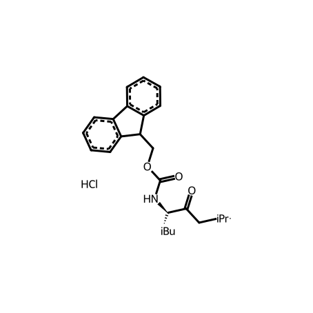 CC[C@@H](C)[C@@H](NC(=O)OCC1c2ccccc2-c2ccccc21)C(=O)C[C](C)C.Cl